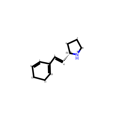 C1=CC(C=C[C@@H]2CCCN2)=CCC1